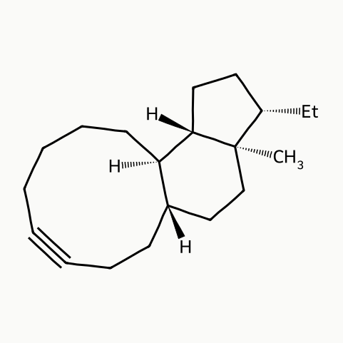 CC[C@H]1CC[C@H]2[C@@H]3CCCCC#CCC[C@H]3CC[C@]12C